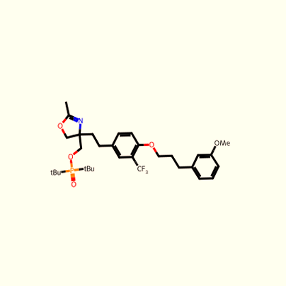 COc1cccc(CCCOc2ccc(CCC3(COP(=O)(C(C)(C)C)C(C)(C)C)COC(C)=N3)cc2C(F)(F)F)c1